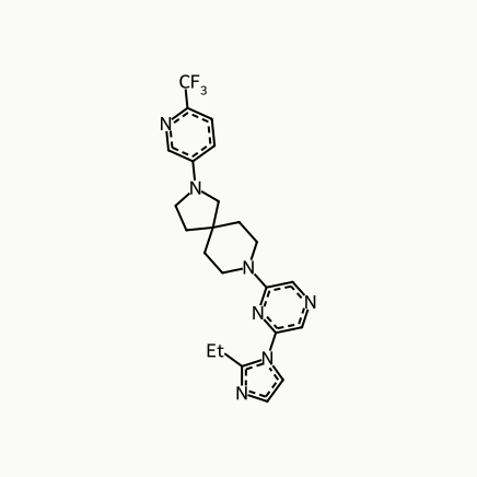 CCc1nccn1-c1cncc(N2CCC3(CCN(c4ccc(C(F)(F)F)nc4)C3)CC2)n1